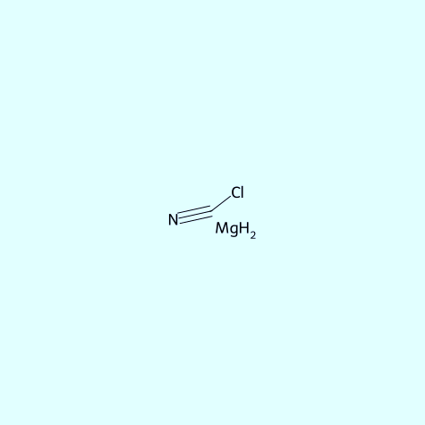 N#CCl.[MgH2]